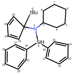 CC(C)(C)C1(N(C2CCCCC2)[SiH](c2ccccc2)c2ccccc2)C=CC=C1